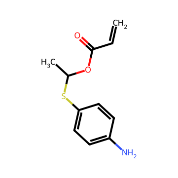 C=CC(=O)OC(C)Sc1ccc(N)cc1